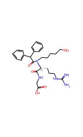 N=C(N)NCCC[C@H](C(=O)NCC(=O)O)N(CCCCCO)C(=O)C(c1ccccc1)c1ccccc1